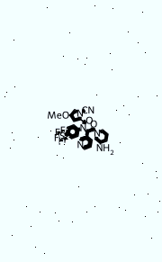 CO[C@@H]1C[C@H](C(=O)N(c2ccc(S(F)(F)(F)(F)F)cc2)C(C(=O)N2CCC[C@H](N)C2)c2cccnc2)N(C#N)C1